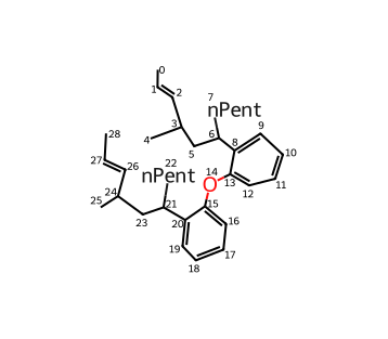 CC=CC(C)CC(CCCCC)c1ccccc1Oc1ccccc1C(CCCCC)CC(C)C=CC